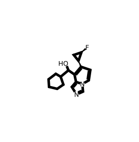 OC(c1c([C@H]2C[C@H]2F)ccn2cncc12)C1CCCCC1